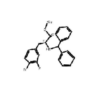 CC(C)(C)OC(=O)[C@H](Cc1ccc(Br)c(F)c1)NC(c1ccccc1)c1ccccc1